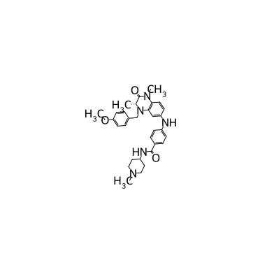 COc1ccc(CN2c3cc(Nc4ccc(C(=O)NC5CCN(C)CC5)cc4)ccc3N(C)C(=O)[C@H]2C)cc1